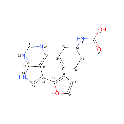 O=C(O)NC1CCC=C(c2ncnc3[nH]cc(-c4ccco4)c23)C1